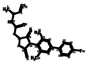 C=CC(C)NC(=O)CC1CC(=O)C(c2c(C)cc(-c3ncc(F)cn3)cc2C)C1=O